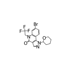 O=c1c2cnn(C3CCCCO3)c2c2ccc(Br)cc2n1CC(F)(F)F